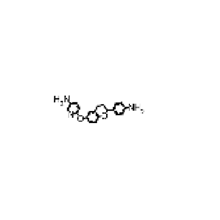 Nc1ccc(C2CCc3cc(Oc4ccc(N)cn4)ccc3O2)cc1